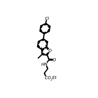 CCOC(=O)CCNC(=O)c1oc2cc(-c3ccc(Cl)cc3)ccc2c1C